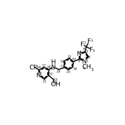 Cn1cc(C(F)(F)F)nc1-c1ccc(CNc2cc(Cl)ncc2CO)cc1